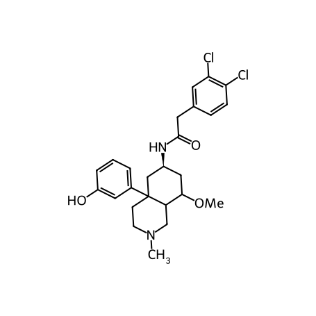 COC1C[C@H](NC(=O)Cc2ccc(Cl)c(Cl)c2)CC2(c3cccc(O)c3)CCN(C)CC12